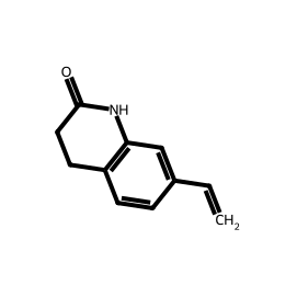 C=Cc1ccc2c(c1)NC(=O)CC2